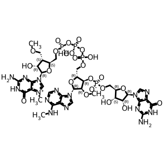 CNc1ncnc2c1ncn2[C@@H]1O[C@H](COP(=O)(O)OP(=O)(O)OP(=O)(O)OC[C@H]2O[C@@H](n3c[n+](C)c4c(=O)[nH]c(N)nc43)[C@H](O)[C@@H]2COC)[C@@H](OP(=O)([O-])OC[C@H]2O[C@@H](n3cnc4c(=O)[nH]c(N)nc43)[C@H](O)[C@@H]2O)[C@H]1OC